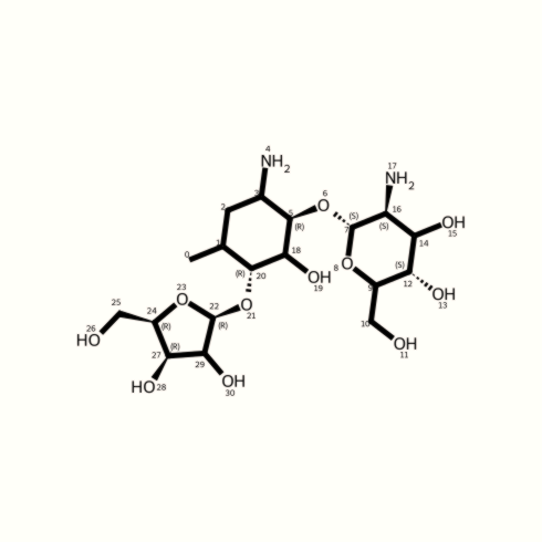 CC1CC(N)[C@@H](O[C@H]2OC(CO)[C@@H](O)C(O)[C@@H]2N)C(O)[C@@H]1O[C@@H]1O[C@H](CO)[C@H](O)C1O